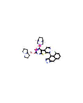 CC(C)(C)OC(=O)N1[C@@H]2CC[C@H]1CN(c1nc(OC[C@@]34CCCN3C[C@H](F)C4)nc3sc4c(-c5c6cn[nH]c6cc6cccc(Cl)c56)nccc4c13)C2